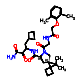 Cc1cccc(C)c1OCC(=O)NCC(=O)N1C[C@]2(C[C@H]1C(=O)NC(CC1CCC1)C(=O)C(N)=O)C(C)(C)C21CCC1